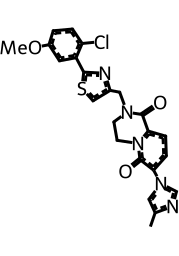 COc1ccc(Cl)c(-c2nc(CN3CCn4c(ccc(-n5cnc(C)c5)c4=O)C3=O)cs2)c1